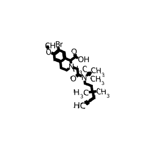 C#CCC(C)(C)CCN(C(=O)CN1CCc2cc(OC)c(Br)cc2C1C(=O)O)C(C)(C)C